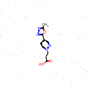 Cc1nnc(-c2cc[n+](CCC(=O)O)nc2)o1